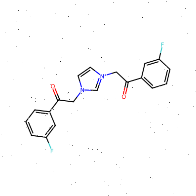 O=C(Cn1cc[n+](CC(=O)c2cccc(F)c2)c1)c1cccc(F)c1